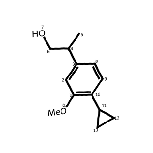 COc1cc([C](C)CO)ccc1C1CC1